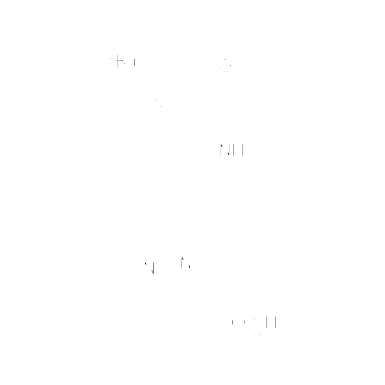 CC(C)(C)OC(=O)NCCn1nccc1C(=O)O